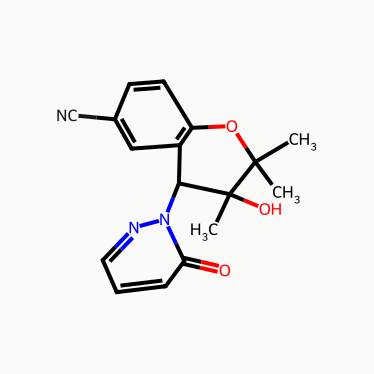 CC1(C)Oc2ccc(C#N)cc2C(n2ncccc2=O)C1(C)O